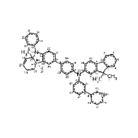 CC1(C)c2ccccc2-c2ccc(N(c3ccc(-c4ccc5c(c4)[C@H]4C=CC=CC4(C)N5c4ccccc4)cc3)c3cccc(-c4cccnc4)c3)cc21